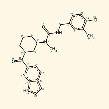 Cc1cc(CNC(=O)N(C)[C@@H]2CCCN(C(=O)c3ccc4cc[nH]c4n3)C2)ccc1Cl